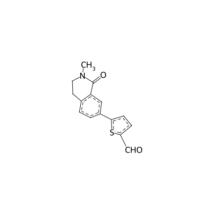 CN1CCc2ccc(-c3ccc(C=O)s3)cc2C1=O